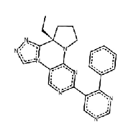 CC[C@@]12CCCN1c1nc(-c3cncnc3-c3ccccc3)ncc1-n1cnnc12